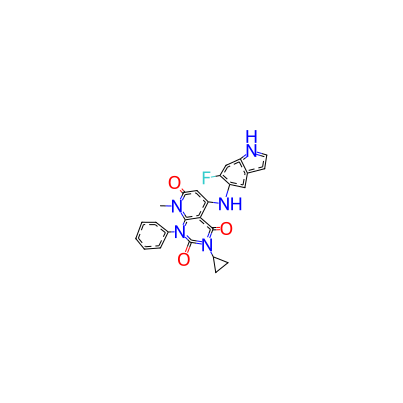 Cn1c(=O)cc(Nc2cc3cc[nH]c3cc2F)c2c(=O)n(C3CC3)c(=O)n(-c3ccccc3)c21